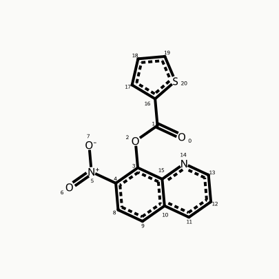 O=C(Oc1c([N+](=O)[O-])ccc2cccnc12)c1cccs1